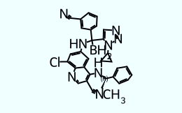 BC(Nc1cc(Cl)c2ncc(C#N)c(N[C@H](CC)c3ccccc3)c2c1)(c1cccc(C#N)c1)c1cnnn1C1CC1